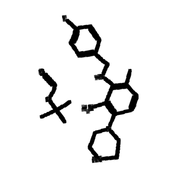 CC(C)(C)OC=O.Cc1ccc(N2CCNCC2)c(N)c1NCc1ccc(F)cc1